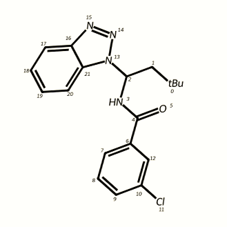 CC(C)(C)CC(NC(=O)c1cccc(Cl)c1)n1nnc2ccccc21